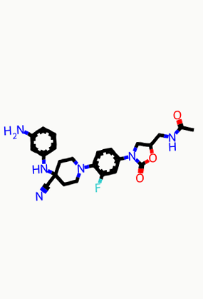 CC(=O)NCC1CN(c2ccc(N3CCC(C#N)(Nc4cccc(N)c4)CC3)c(F)c2)C(=O)O1